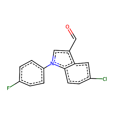 O=Cc1cn(-c2ccc(F)cc2)c2ccc(Cl)cc12